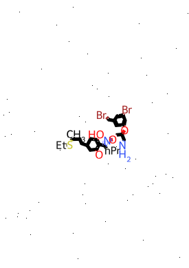 CCC/C(=N\OCC(CN)Oc1cc(Br)cc(CBr)c1)C1=C(O)CC(CCC(C)SCC)CC1=O